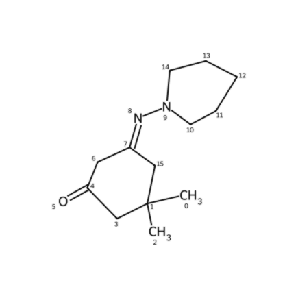 CC1(C)CC(=O)CC(=NN2CCCCC2)C1